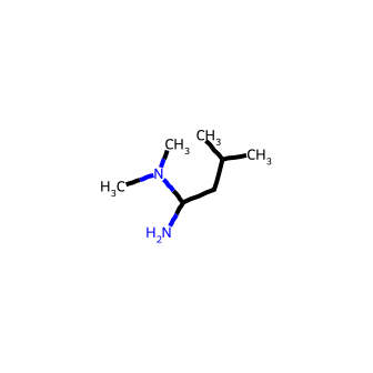 CC(C)CC(N)N(C)C